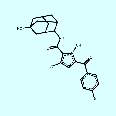 CCc1cc(C(=O)c2ccc(F)cc2)n(C)c1C(=O)NC1C2CC3CC1CC(O)(C3)C2